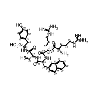 N=C(N)NCCC[C@H](NC(=O)[C@@H](N)CCCNC(=N)N)C(=O)N[C@@H](Cc1ccc2ccccc2c1)C(=O)N[C@@H](CS)C(=O)N[C@@H](Cc1ccc(O)cc1)C(=O)O